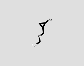 CC(=O)C1CC1COCC(F)(F)F